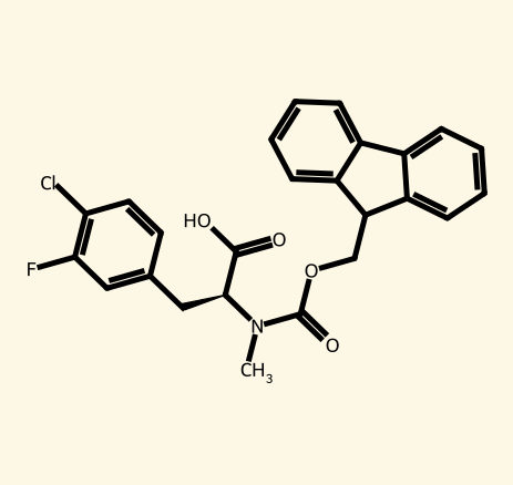 CN(C(=O)OCC1c2ccccc2-c2ccccc21)[C@@H](Cc1ccc(Cl)c(F)c1)C(=O)O